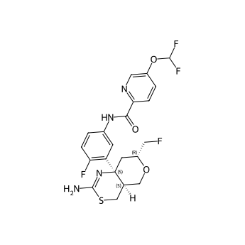 NC1=N[C@@]2(c3cc(NC(=O)c4ccc(OC(F)F)cn4)ccc3F)C[C@H](CF)OC[C@H]2CS1